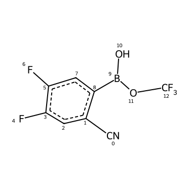 N#Cc1cc(F)c(F)cc1B(O)OC(F)(F)F